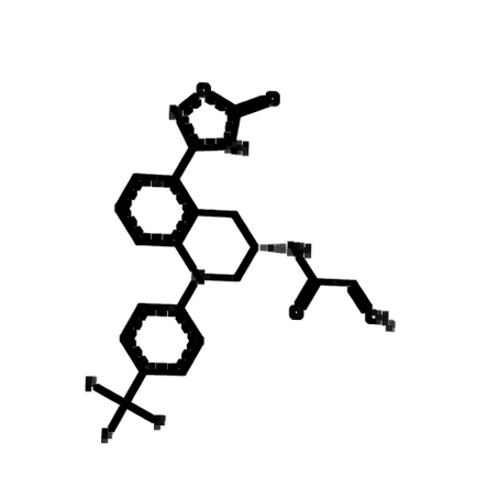 C=CC(=O)N[C@H]1Cc2c(-c3noc(=O)[nH]3)cccc2N(c2ccc(C(F)(F)F)cc2)C1